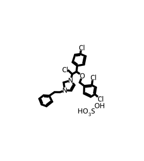 Clc1ccc(C(OCc2ccc(Cl)cc2Cl)C(Cl)N2C=CN(CCc3ccccc3)C2)cc1.O=S(=O)(O)O